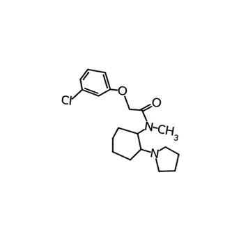 CN(C(=O)COc1cccc(Cl)c1)C1CCCCC1N1CCCC1